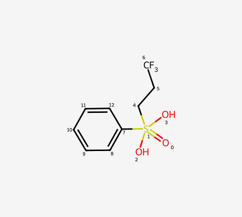 O=S(O)(O)(CCC(F)(F)F)c1ccccc1